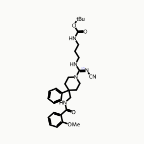 COc1ccccc1C(=O)NCC1(c2ccccc2)CCN(/C(=N\C#N)NCCCNC(=O)OC(C)(C)C)CC1